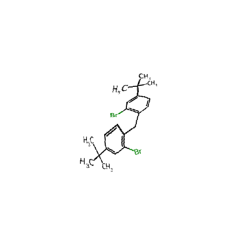 CC(C)(C)c1ccc(Cc2ccc(C(C)(C)C)cc2Br)c(Br)c1